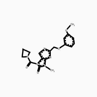 COc1cccc(OCc2ncc3c(n2)n(C)c(=O)n3C(=O)N2CCC2)c1